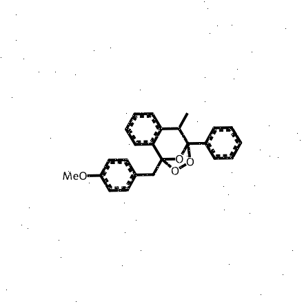 COc1ccc(CC23OOC(c4ccccc4)(O2)C(C)c2ccccc23)cc1